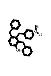 CCOCC.Oc1ccc(Cc2ccccc2)c(Cc2ccccc2)c1Cc1ccccc1